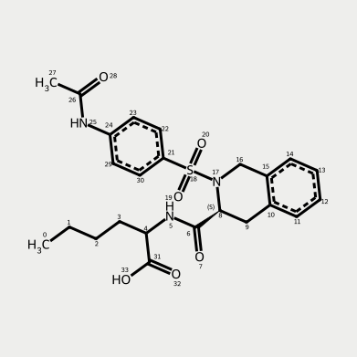 CCCCC(NC(=O)[C@@H]1Cc2ccccc2CN1S(=O)(=O)c1ccc(NC(C)=O)cc1)C(=O)O